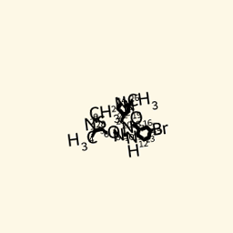 Cc1nc(C)c(CON=c2[nH]c3ccc(Br)cc3c(=O)n2Cc2cnn(C)c2)s1